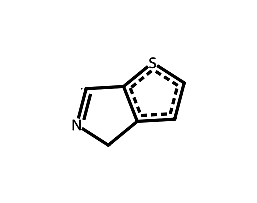 [C]1=NCc2ccsc21